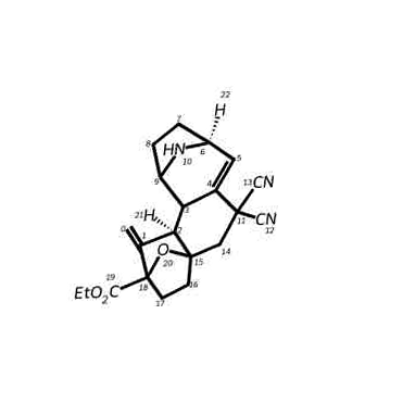 C=C1[C@H]2C3C(=C[C@@H]4CCC3N4)C(C#N)(C#N)CC23CCC1(C(=O)OCC)O3